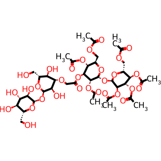 CC(=O)OC[C@H]1O[C@H](O[C@H]2O[C@H](COC(C)=O)[C@@H](OC(C)=O)[C@H](OC(=O)CO[C@@H]3[C@@H](O)[C@@H](O[C@H]4O[C@H](CO)[C@@H](O)[C@H](O)[C@H]4O)O[C@H](CO)[C@H]3O)[C@H]2OC(C)=O)[C@H](OC(C)=O)[C@@H](OC(C)=O)[C@@H]1OC(C)=O